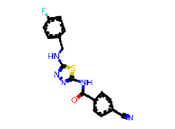 N#Cc1ccc(C(=O)Nc2nnc(NCc3ccc(F)cc3)s2)cc1